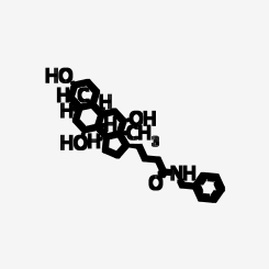 C[C@]12CC[C@@H](O)C[C@H]1C[C@@H](O)[C@@H]1[C@@H]2C[C@H](O)[C@]2(C)[C@@H](CCCC(=O)NCc3ccccc3)CC[C@@H]12